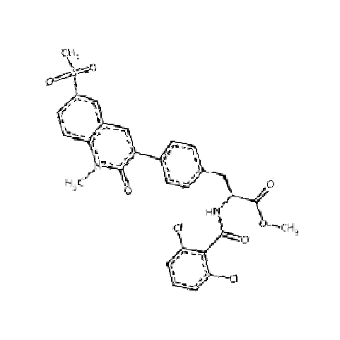 COC(=O)[C@H](Cc1ccc(-c2cc3cc(S(C)(=O)=O)ccc3n(C)c2=O)cc1)NC(=O)c1c(Cl)cccc1Cl